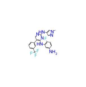 Cn1cc(Nc2ncc(-c3cccc(C(F)(F)F)c3)c(Nc3cc(N)ccc3F)n2)cn1